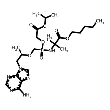 CCCCCOC(=O)C(C)(C)N[P@@](=O)(CO[C@H](C)Cn1cnc2c(N)ncnc21)OCC(=O)OC(C)C